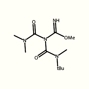 COC(=N)N(C(=O)N(C)C)C(=O)N(C)C(C)(C)C